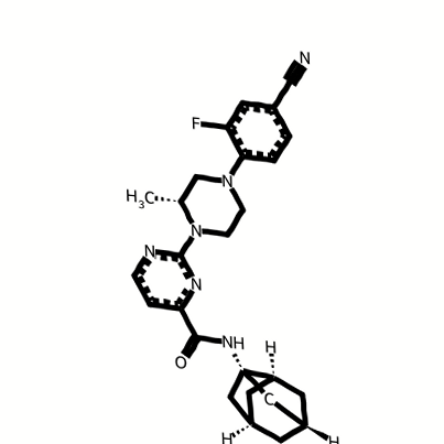 C[C@@H]1CN(c2ccc(C#N)cc2F)CCN1c1nccc(C(=O)N[C@]23C[C@@H]4C[C@@H](C[C@H]2C4)C3)n1